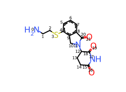 NCCSc1cccc2c1CN(C1CCC(=O)NC1=O)C2=O